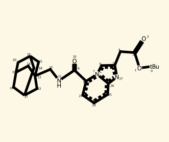 CC(C)(C)OC(=O)Cc1cn2c(C(=O)NCC34CC5CC(CC(C5)C3)C4)cccc2n1